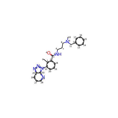 Cc1c(C(=O)NCCCN(C)Cc2ccccc2)cccc1-n1nnc2cccnc21